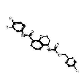 O=C(N[C@H]1CCOc2c(C(=O)Nc3ccc(F)c(F)c3)cccc21)OCc1ccc(Cl)cn1